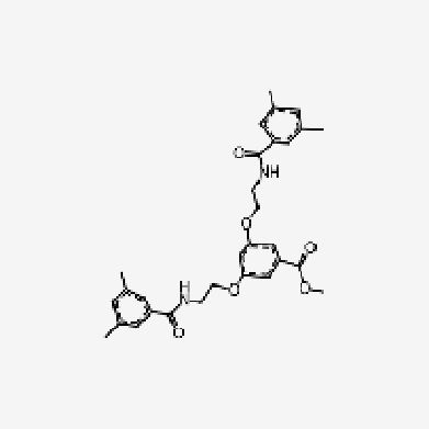 COC(=O)c1cc(OCCNC(=O)c2cc(C)cc(C)c2)cc(OCCNC(=O)c2cc(C)cc(C)c2)c1